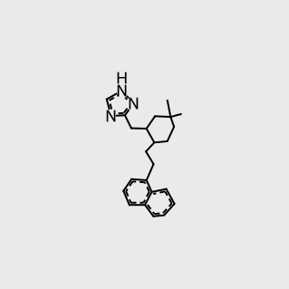 CC1(C)CCC(CCc2cccc3ccccc23)C(Cc2nc[nH]n2)C1